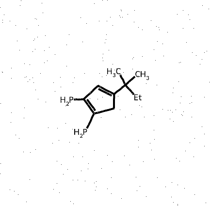 CCC(C)(C)C1=CC(P)=C(P)C1